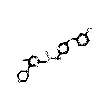 [O-][S+](Nc1ccc(Nc2cccc(C(F)(F)F)c2)cn1)Nc1ncc(F)c(N2CCOCC2)n1